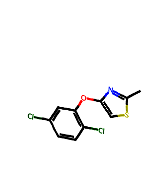 Cc1nc(Oc2cc(Cl)ccc2Cl)cs1